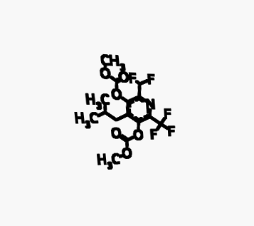 COC(=O)Oc1c(C(F)F)nc(C(F)(F)F)c(OC(=O)OC)c1CC(C)C